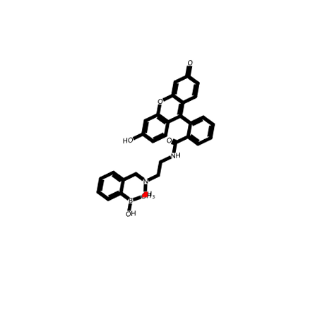 CN(CCNC(=O)c1ccccc1-c1c2ccc(=O)cc-2oc2cc(O)ccc12)Cc1ccccc1B(O)O